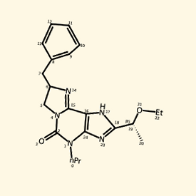 CCCN1C(=O)N2CC(Cc3ccccc3)N=C2c2[nH]c([C@@H](C)OCC)nc21